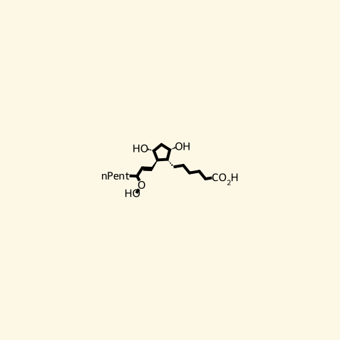 CCCCCC(/C=C/[C@@H]1[C@@H](CCCCCC(=O)O)[C@@H](O)C[C@H]1O)OO